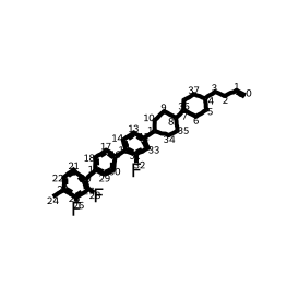 C=CCCC1CCC(C2CCC(c3ccc(-c4ccc(-c5ccc(C)c(F)c5F)cc4)c(F)c3)CC2)CC1